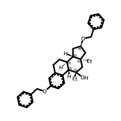 CC[C@]1(O)C[C@]2(CC)C[C@H](OCc3ccccc3)C[C@H]2[C@@H]2CCc3cc(OCc4ccccc4)ccc3[C@H]21